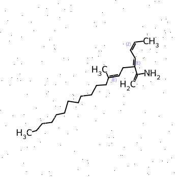 C=C(N)/C(=C/C=C\C)C/C=C(\C)CCCCCCCCCCCC